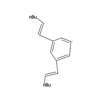 CCCCC=Cc1c[c]cc(C=CCCCC)c1